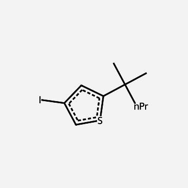 CCCC(C)(C)c1cc(I)cs1